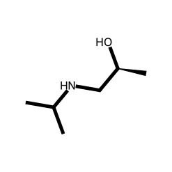 CC(C)NC[C@H](C)O